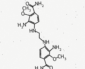 COc1c(C(N)=O)ccc(NCCNc2ccc(C(N)=O)c(OC)c2N)c1N